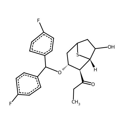 CCC(=O)[C@@H]1[C@@H]2SC(CC2O)C[C@H]1OC(c1ccc(F)cc1)c1ccc(F)cc1